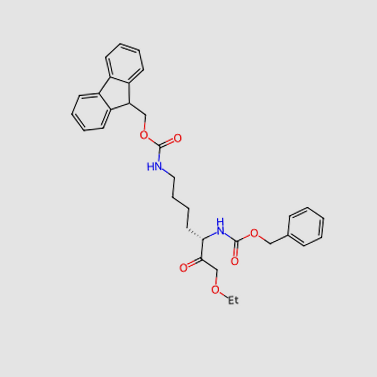 CCOCC(=O)[C@H](CCCCNC(=O)OCC1c2ccccc2-c2ccccc21)NC(=O)OCc1ccccc1